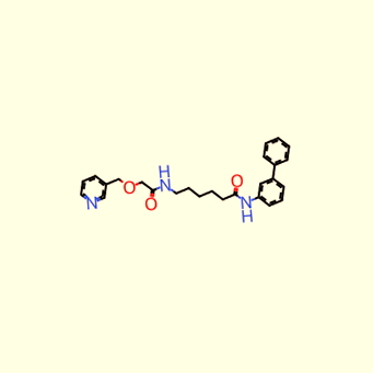 O=C(COCc1cccnc1)NCCCCCC(=O)Nc1cccc(-c2ccccc2)c1